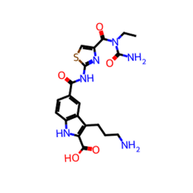 CCN(C(N)=O)C(=O)c1csc(NC(=O)c2ccc3[nH]c(C(=O)O)c(CCCN)c3c2)n1